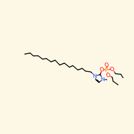 CCCCCCCCCCCCCCCCN1C=CN(C)C1OP(=O)(OCCC)OCCC